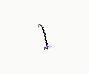 CC(C)CCCCCCCCCCCC(=O)NC(C)C